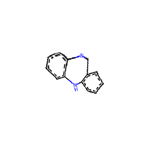 c1ccc2c(c1)C[N]c1ccccc1N2